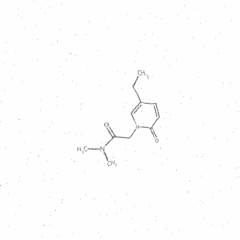 CCc1ccc(=O)n(CC(=O)N(C)C)c1